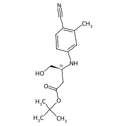 Cc1cc(N[C@H](CO)CC(=O)OC(C)(C)C)ccc1C#N